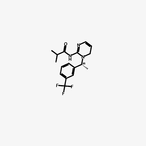 CC(C)C(=O)NC1=NC=CCN1[C@H](C)c1cccc(C(F)(F)F)c1